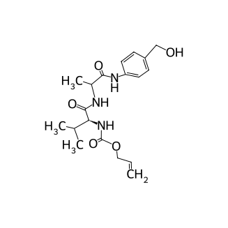 C=CCOC(=O)N[C@H](C(=O)NC(C)C(=O)Nc1ccc(CO)cc1)C(C)C